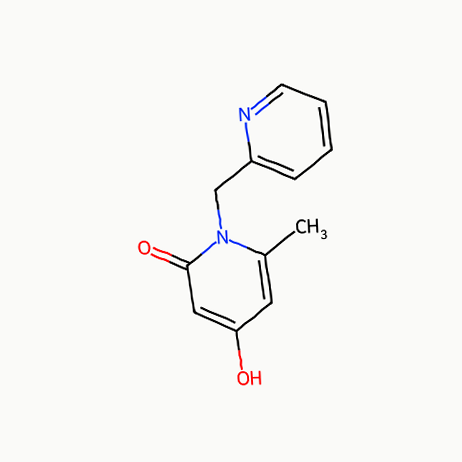 Cc1cc(O)cc(=O)n1Cc1ccccn1